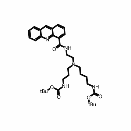 CC(C)(C)OC(=O)NCCCCN(CCCNC(=O)OC(C)(C)C)CCNC(=O)c1cccc2cc3ccccc3nc12